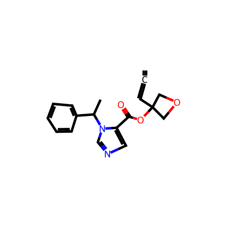 C=C=CC1(OC(=O)c2cncn2C(C)c2ccccc2)COC1